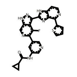 O=C(Nc1cncc(-c2ncc3[nH]nc(-c4nc5c(-c6cccs6)nccc5[nH]4)c3c2F)c1)C1CC1